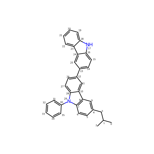 CC(C)Cc1ccc2c(c1)c1cc(-c3ccc4[nH]c5ccccc5c4c3)ccc1n2-c1ccccc1